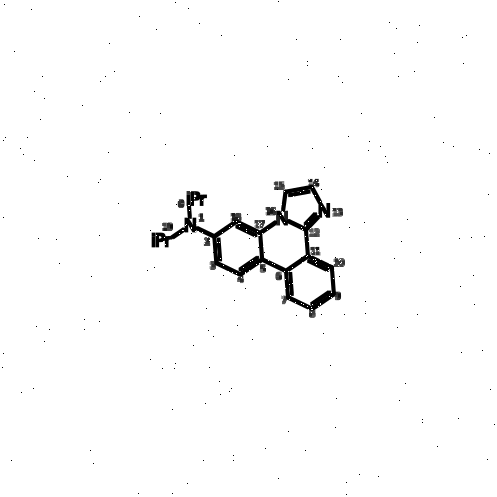 CC(C)N(c1ccc2c3ccccc3c3nccn3c2c1)C(C)C